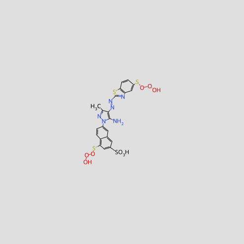 Cc1nn(-c2ccc3c(SOOO)cc(S(=O)(=O)O)cc3c2)c(N)c1/N=N/c1nc2cc(SOOO)ccc2s1